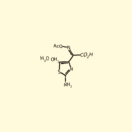 CC(=O)O/N=C(/C(=O)O)c1csc(N)n1.O.O